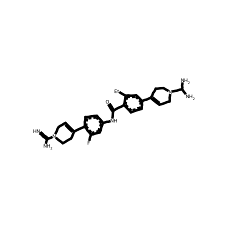 CCc1cc(C2=CCN(C(N)N)CC2)ccc1C(=O)Nc1ccc(C2=CCN(C(=N)N)CC2)c(F)c1